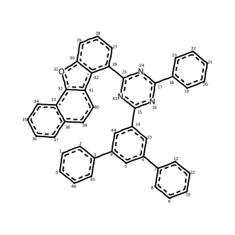 c1ccc(-c2cc(-c3ccccc3)cc(-c3nc(-c4ccccc4)nc(-c4cccc5oc6c7ccccc7ccc6c45)n3)c2)cc1